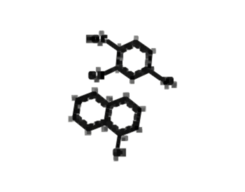 O=C(O)c1ccc([N+](=O)[O-])cc1[N+](=O)[O-].Oc1cccc2ccccc12